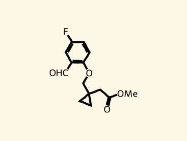 COC(=O)CC1(COc2ccc(F)cc2C=O)CC1